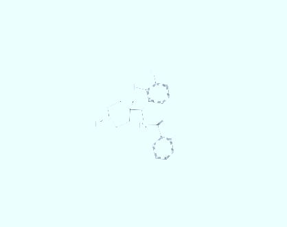 O=C(NC(c1cccc(F)c1Cl)[C@]1(O)CC[C@@H](F)CC1)c1ccccc1C(F)(F)F